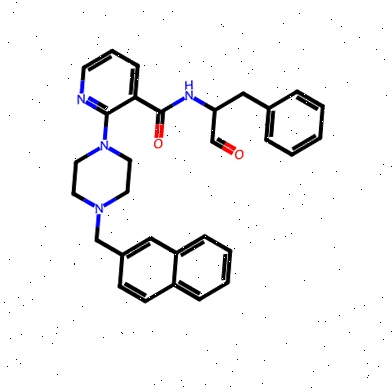 O=CC(Cc1ccccc1)NC(=O)c1cccnc1N1CCN(Cc2ccc3ccccc3c2)CC1